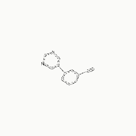 C#Cc1cccc(-c2cncnc2)c1